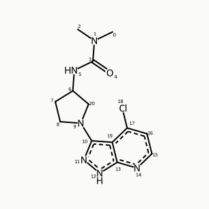 CN(C)C(=O)NC1CCN(c2n[nH]c3nccc(Cl)c23)C1